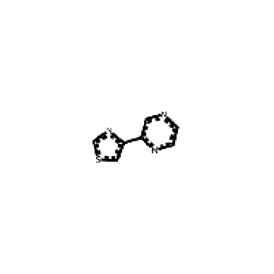 [c]1cnc(-c2cscn2)cn1